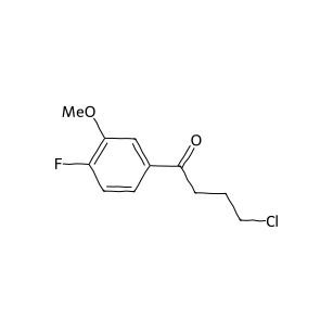 COc1cc(C(=O)CCCCl)ccc1F